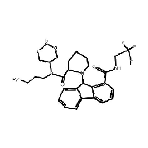 CCCCN(C(=O)C1CCCCN1C1c2ccccc2-c2cccc(C(=O)NCC(F)(F)F)c21)C1COPOC1